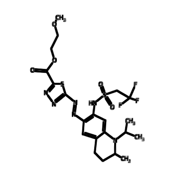 COCCOC(=O)c1nnc(N=Nc2cc3c(cc2NS(=O)(=O)CC(F)(F)F)N(C(C)C)C(C)CC3)s1